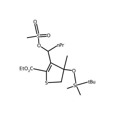 CCCC(OS(C)(=O)=O)C1=C(C(=O)OCC)SCC1(C)O[Si](C)(C)C(C)(C)C